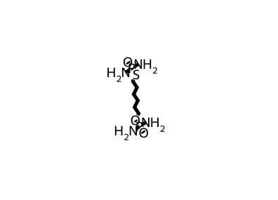 NP(N)(=O)OCCCCCCSP(N)(N)=O